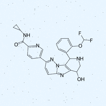 O=C(NC1CC1)c1ccc(-c2ccc3nc4c(n3n2)C(c2ccccc2OC(F)F)NCC4O)cn1